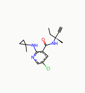 C#C[C@@](C)(CC)NC(=O)c1cc(Cl)cnc1NC1(C)CC1